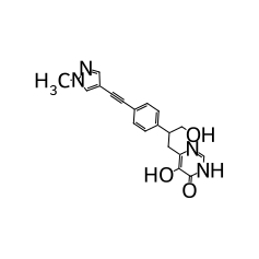 Cn1cc(C#Cc2ccc(C(CO)Cc3nc[nH]c(=O)c3O)cc2)cn1